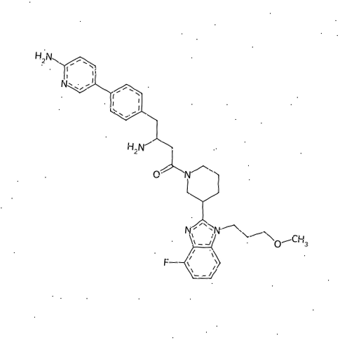 COCCCn1c(C2CCCN(C(=O)CC(N)Cc3ccc(-c4ccc(N)nc4)cc3)C2)nc2c(F)cccc21